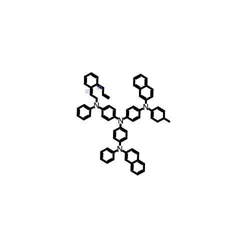 C=C/C=c1/cccc/c1=C/CN(c1ccccc1)c1ccc(N(c2ccc(N(C3=CCC(C)C=C3)c3ccc4ccccc4c3)cc2)c2ccc(N(c3ccccc3)c3ccc4ccccc4c3)cc2)cc1